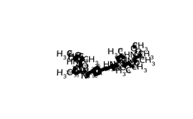 COC(=O)N[C@H](C(=O)N[C@H](C(=O)N1C[C@@H](C)C[C@H]1c1ncc(C#Cc2ccc(-c3cnc([C@@H]4C[C@H](C)CN4C(=O)[C@@H](NC(=O)OC)C(C)C)[nH]3)cc2)[nH]1)C(C)C)C(C)C